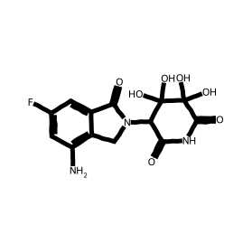 Nc1cc(F)cc2c1CN(C1C(=O)NC(=O)C(O)(O)C1(O)O)C2=O